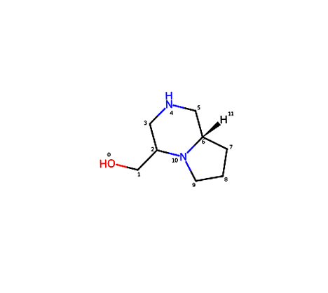 OCC1CNC[C@@H]2CCCN12